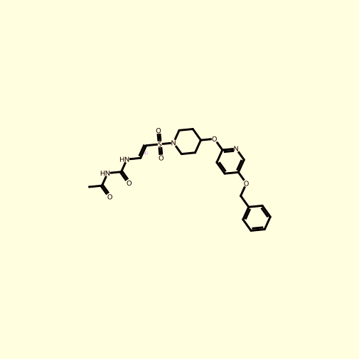 CC(=O)NC(=O)N/C=C/S(=O)(=O)N1CCC(Oc2ccc(OCc3ccccc3)cn2)CC1